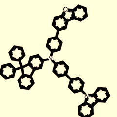 c1ccc(C2(c3ccccc3)c3ccccc3-c3cc(N(c4ccc(-c5ccc(-n6c7ccccc7c7ccccc76)cc5)cc4)c4ccc(-c5ccc6oc7ccccc7c6c5)cc4)ccc32)cc1